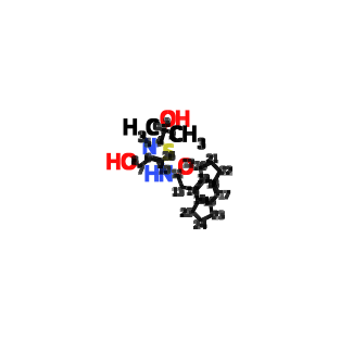 CC(C)(O)c1nc(CO)c(NC(=O)Cc2c3c(cc4c2CCC4)CCC3)s1